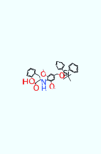 COc1cc(CO[Si](c2ccccc2)(c2ccccc2)C(C)(C)C)cc(OC)c1NC(Cc1ccccc1)C(=O)O